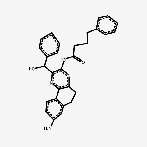 Nc1ccc2c(c1)CCc1nc(NC(=O)CCCc3ccccc3)c(C(O)c3ccccc3)nc1-2